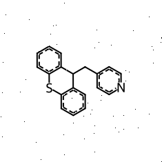 c1ccc2c(c1)Sc1ccccc1C2Cc1ccncc1